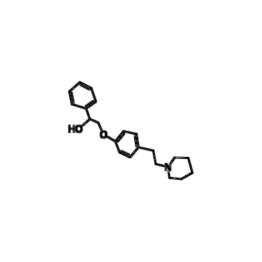 OC(COc1ccc(CCN2CCCCC2)cc1)c1ccccc1